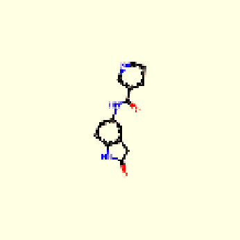 O=C1Cc2cc(NC(=O)c3cccnc3)ccc2N1